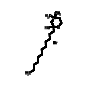 CCCCCCCCCCCCC1(O)C[N+](C)(C)CCO1.[Br-]